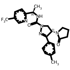 Cc1ccc(C2=NN(C(=O)N[C@H](C)c3ccc(C(F)(F)F)cn3)C[C@@H]2N2CCCC2=O)cc1